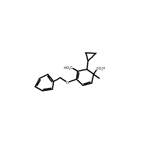 CC1(C(=O)O)C=CC(OCc2ccccc2)=C(C(=O)O)C1C1CC1